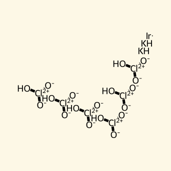 [Ir].[KH].[KH].[O-][Cl+2]([O-])O.[O-][Cl+2]([O-])O.[O-][Cl+2]([O-])O.[O-][Cl+2]([O-])O.[O-][Cl+2]([O-])O.[O-][Cl+2]([O-])O